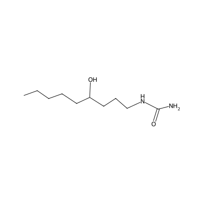 CCCCCC(O)CCCNC(N)=O